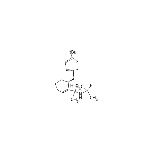 CC(C)(F)NC(C)(C)C1=CCCC[C@H]1Cc1ccc(C(C)(C)C)cc1